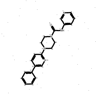 O=C(Nc1cccnc1)N1CCN(c2ccc(-c3ccccc3)cn2)CC1